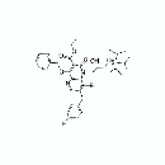 CCOC(=O)c1c(OCc2ccccc2)c2ncc(Cc3ccc(F)cc3)c(Br)c2n(C[C@H](O)CO[Si](C(C)C)(C(C)C)C(C)C)c1=O